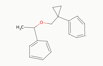 CC(OCC1(c2cc[c]cc2)CC1)c1ccccc1